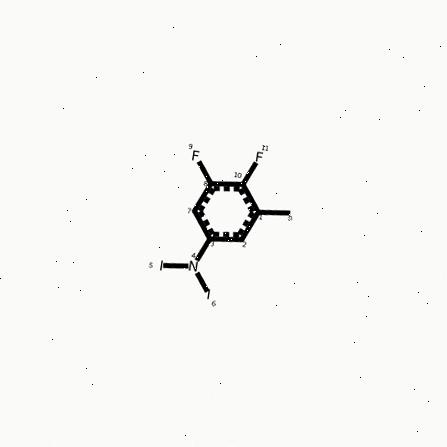 Cc1cc(N(I)I)cc(F)c1F